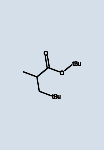 CC(CC(C)(C)C)C(=O)OC(C)(C)C